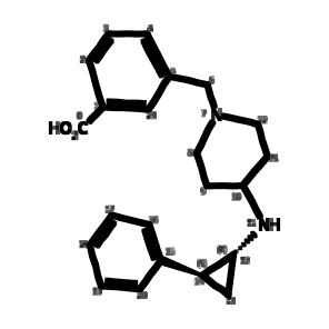 O=C(O)c1cccc(CN2CCC(N[C@@H]3C[C@H]3c3ccccc3)CC2)c1